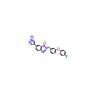 O=c1c2cc(-c3cn[nH]c3)ccc2ncn1Cc1cccc(Oc2ccc(F)cc2)c1